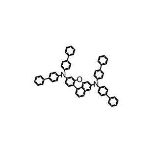 c1ccc(-c2ccc(N(c3ccc(-c4ccccc4)cc3)c3ccc4c(c3)Oc3cc(N(c5ccc(-c6ccccc6)cc5)c5ccc(-c6ccccc6)cc5)cc5cccc-4c35)cc2)cc1